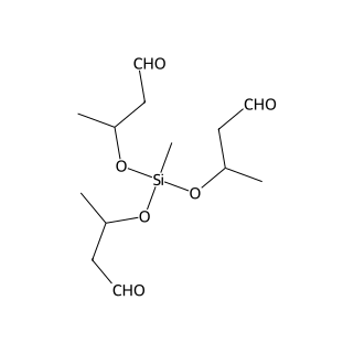 CC(CC=O)O[Si](C)(OC(C)CC=O)OC(C)CC=O